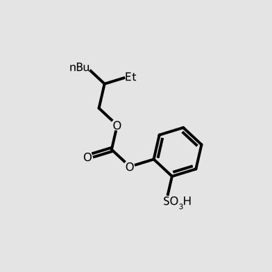 CCCCC(CC)COC(=O)Oc1ccccc1S(=O)(=O)O